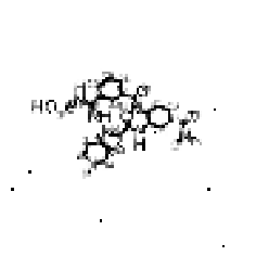 CN1CCc2nc(C(=O)N[C@@H]3C[C@@H](C(=O)N(C)C)CC[C@@H]3NC(=O)c3cccc(C(=N)NC(=O)O)c3)sc2C1